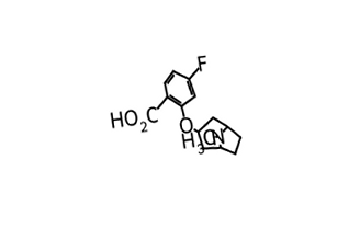 CN1C2CCC1CC(Oc1cc(F)ccc1C(=O)O)C2